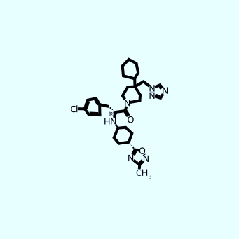 Cc1noc([C@H]2CC[C@H](N[C@H](Cc3ccc(Cl)cc3)C(=O)N3CCC(Cn4cncn4)(C4CCCCC4)CC3)CC2)n1